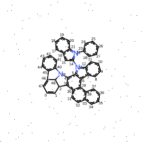 C1=CC2c3c(c4c(c5ccccc5n4-c4cc5ccccc5n4-c4ccccc4)c4c3ccc3ccccc34)N3c4ccccc4C(=C1)C23